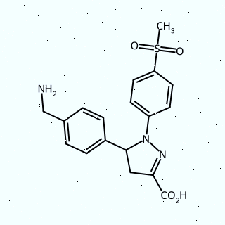 CS(=O)(=O)c1ccc(N2N=C(C(=O)O)CC2c2ccc(CN)cc2)cc1